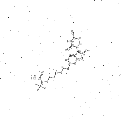 CC(C)(C)N(CCCOCCCc1ccc2c(c1)oc(=O)n2C1CCC(=O)NC1=O)C(=O)O